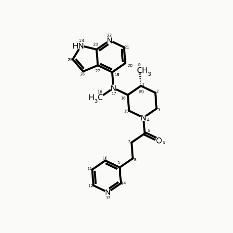 C[C@@H]1CCN(C(=O)CCc2cccnc2)CC1N(C)c1ccnc2[nH]ccc12